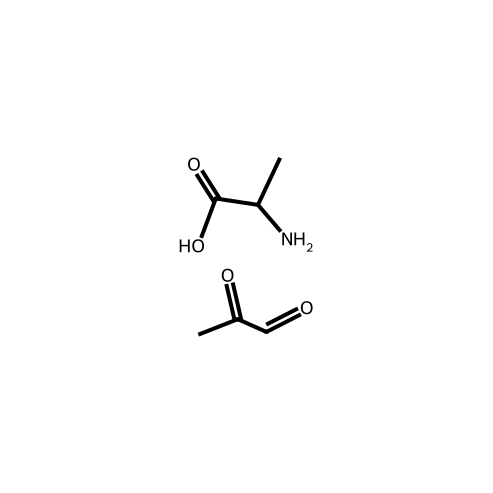 CC(=O)C=O.CC(N)C(=O)O